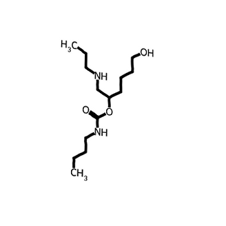 CCCCNC(=O)OC(CCCCO)CNCCC